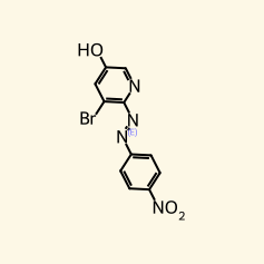 O=[N+]([O-])c1ccc(/N=N/c2ncc(O)cc2Br)cc1